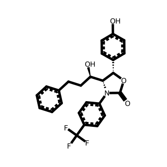 O=C1O[C@@H](c2ccc(O)cc2)[C@@H]([C@H](O)CCc2ccccc2)N1c1ccc(C(F)(F)F)cc1